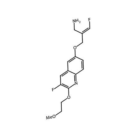 COCCOc1nc2ccc(OC/C(=C/F)CN)cc2cc1F